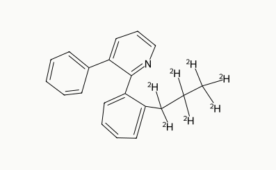 [2H]C([2H])([2H])C([2H])([2H])C([2H])([2H])c1ccccc1-c1ncccc1-c1ccccc1